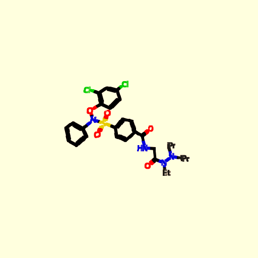 CCN(C(=O)CNC(=O)c1ccc(S(=O)(=O)N(Oc2ccc(Cl)cc2Cl)c2ccccc2)cc1)N(C(C)C)C(C)C